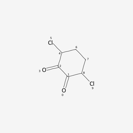 O=C1C(=O)C(Cl)CCC1Cl